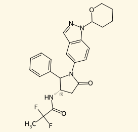 CC(F)(F)C(=O)N[C@H]1CC(=O)N(c2ccc3c(cnn3C3CCCCO3)c2)C1c1ccccc1